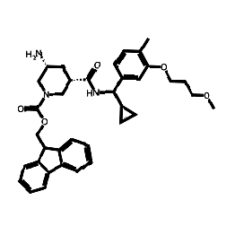 COCCCOc1cc(C(NC(=O)[C@H]2C[C@@H](N)CN(C(=O)OCC3c4ccccc4-c4ccccc43)C2)C2CC2)ccc1C